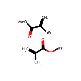 C=C(C)C(=O)OC(C)C.C=C(CCC)C(=O)OC